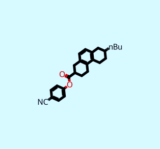 CCCCC1CCc2c(ccc3c2CCC(C(=O)Oc2ccc(C#N)cc2)C3)C1